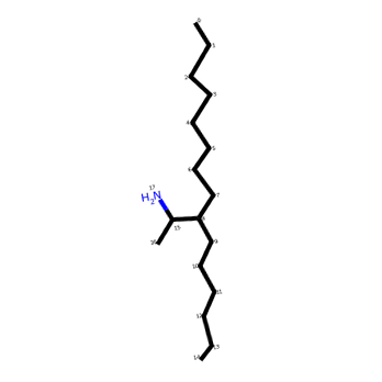 CCCCCCCCC(CCCCCC)C(C)N